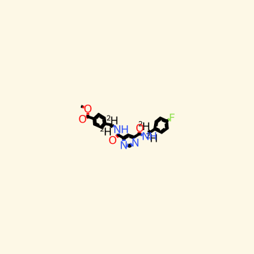 [2H]C([2H])(NC(=O)c1cc(C(=O)NC([2H])([2H])c2ccc(C(=O)OC)cc2)ncn1)c1ccc(F)cc1